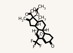 C=C1C[C@H]2[C@@H]3C=C(C(F)(F)F)C4=CC(=O)CC[C@]4(C)[C@H]3CC[C@]2(C)[C@@]1(OC(C)=O)C(C)=O